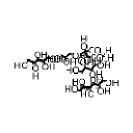 O=C(O)CC(O)(CC(=O)O)C(=O)O.OCC(O)C(O)CO.OCC(O)CO.OC[C@@H](O)[C@@H](O)[C@H](O)[C@@H](O)CO.OC[C@@H](O)[C@H](O)[C@@H](O)CO